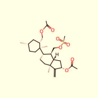 C=C1[C@@H](OC(C)=O)C[C@H]2[C@H](COS(C)(=O)=O)[C@@H]([C@@]3(C)CC[C@H](C)C[C@@H]3COC(C)=O)CC[C@]12C